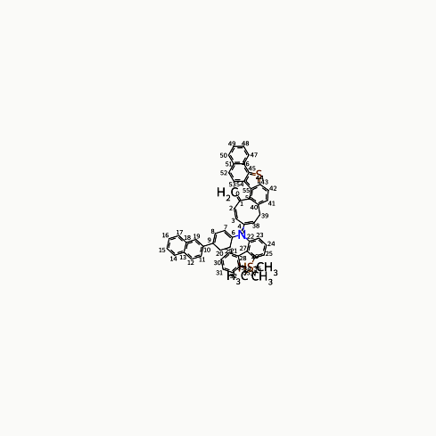 C=C1/C=C\C(N(C2=CC=C(c3ccc4ccccc4c3)CC2)c2cccc3c2-c2ccccc2[SH]3(C)(C)C)=C/Cc2ccc3sc4c5ccccc5ccc4c3c21